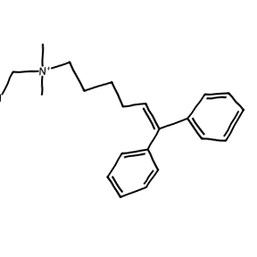 C[N+](C)(CI)CCCCC=C(c1ccccc1)c1ccccc1